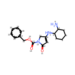 NC1CCCCC1NC1=CC(=O)N(C(=O)OCc2ccccc2)C1